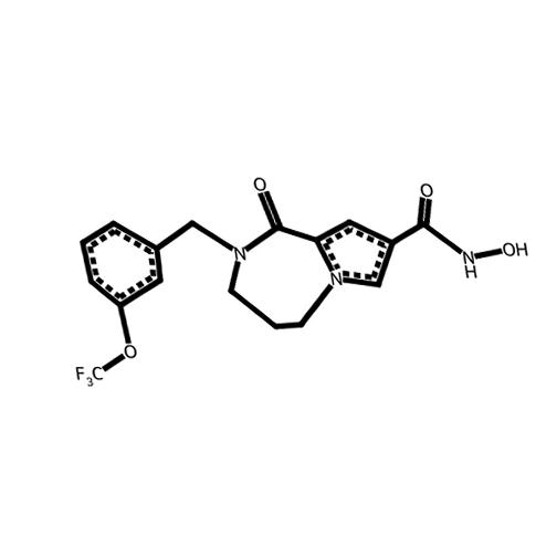 O=C(NO)c1cc2n(c1)CCCN(Cc1cccc(OC(F)(F)F)c1)C2=O